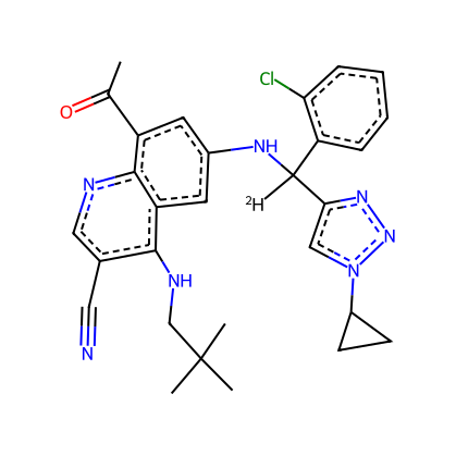 [2H]C(Nc1cc(C(C)=O)c2ncc(C#N)c(NCC(C)(C)C)c2c1)(c1cn(C2CC2)nn1)c1ccccc1Cl